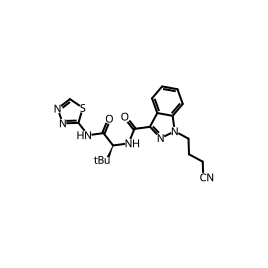 CC(C)(C)[C@H](NC(=O)c1nn(CCCC#N)c2ccccc12)C(=O)Nc1nncs1